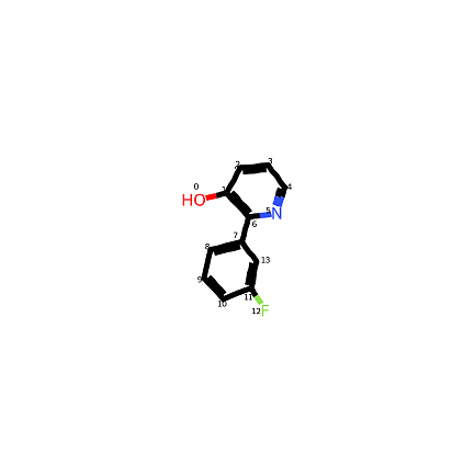 Oc1[c]ccnc1-c1cccc(F)c1